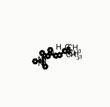 CC1(C)CC(C)(C)C2=C1C=CC(c1ccc3ccc(-n4c5ccccc5c5c6c7ccccc7n(-c7nc(-c8ccccc8)nc(-c8ccccc8)n7)c6ccc54)cc3c1)C2